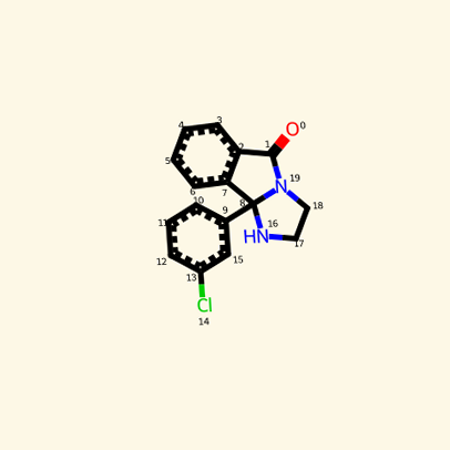 O=C1c2ccccc2C2(c3cccc(Cl)c3)NCCN12